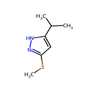 CSc1cc(C(C)C)[nH]n1